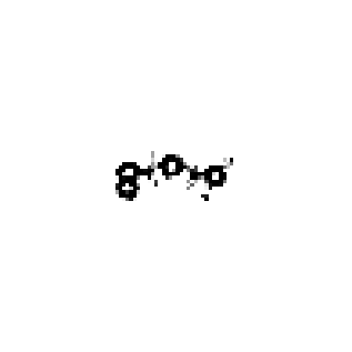 COc1ccc(OC)c(C(=O)Nc2ccc(NC(=O)c3cccc4ccccc34)cc2)c1